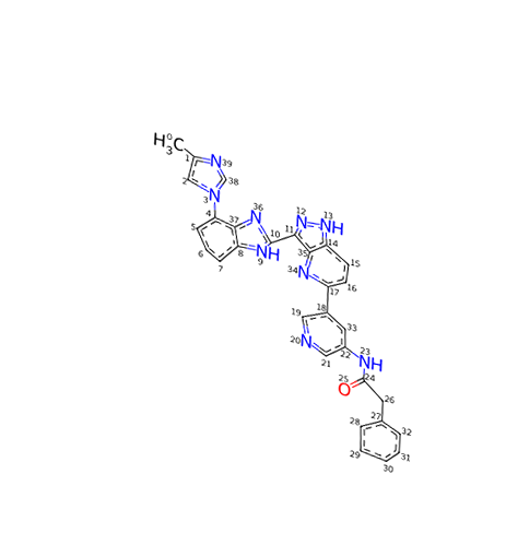 Cc1cn(-c2cccc3[nH]c(-c4n[nH]c5ccc(-c6cncc(NC(=O)Cc7ccccc7)c6)nc45)nc23)cn1